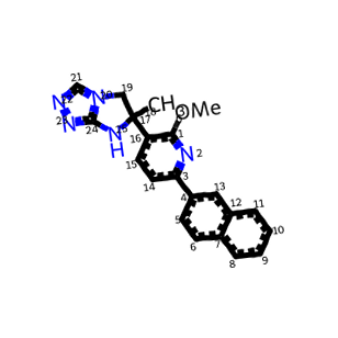 COc1nc(-c2ccc3ccccc3c2)ccc1C1(C)Cn2cnnc2N1